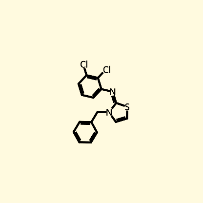 Clc1cccc(N=c2sccn2Cc2ccccc2)c1Cl